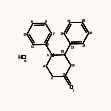 Cl.O=C1CCN(c2ccccc2)C(c2ccccc2)C1